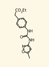 CCOC(=O)Cc1ccc(NC(=O)Nc2cc(C)on2)cc1